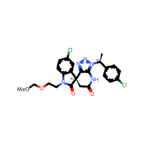 COCOCCN1C(=O)[C@]2(CC(=O)Nc3c2nnn3[C@@H](C)c2ccc(Cl)cc2)c2cc(Cl)ccc21